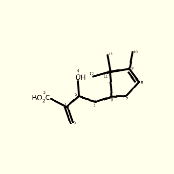 C=C(C(=O)O)C(O)CC1CC=C(C)C1(C)C